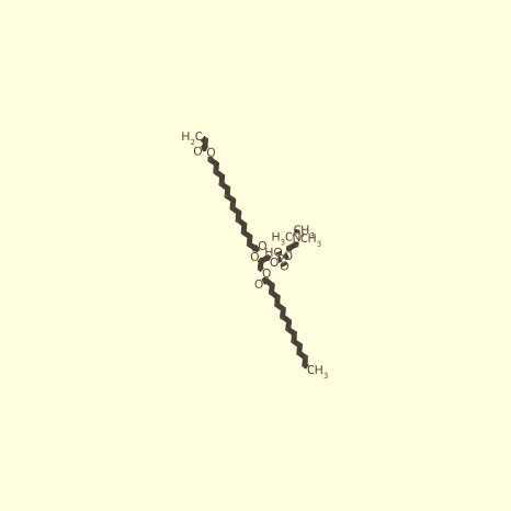 C=CC(=O)OCCCCCCCCCCCCCCCC(=O)OC(COC(=O)CCCCCCCCCCCCCCC)COP(=O)(O)OCC[N+](C)(C)C